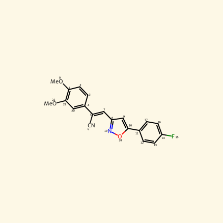 COc1ccc(/C(C#N)=C/c2cc(-c3ccc(F)cc3)on2)cc1OC